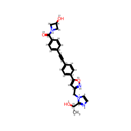 C[C@H](O)c1nccn1Cc1cc(-c2ccc(C#Cc3ccc(C(=O)N4CC(O)C4)cc3)cc2)on1